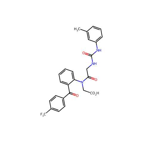 Cc1cccc(NC(=O)NCC(=O)N(CC(=O)O)c2ccccc2C(=O)c2ccc(C(F)(F)F)cc2)c1